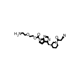 N#CCC(=O)N1CCC[C@@H](Cc2ncnc3c2ccn3C(=O)OCCOCCN)C1